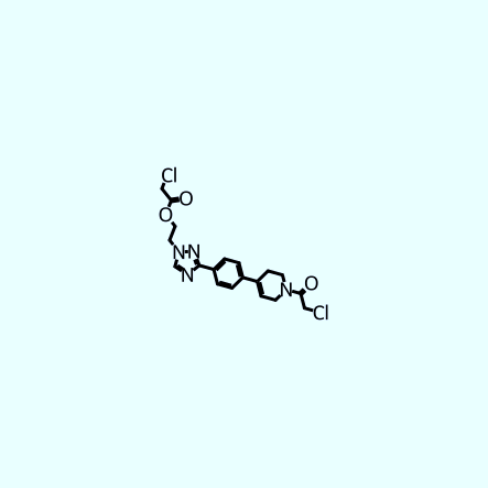 O=C(CCl)OCCn1cnc(-c2ccc(C3=CCN(C(=O)CCl)CC3)cc2)n1